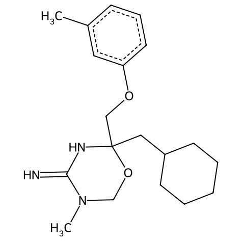 Cc1cccc(OCC2(CC3CCCCC3)NC(=N)N(C)CO2)c1